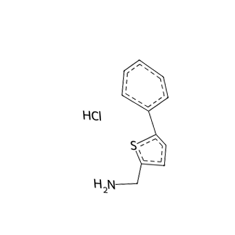 Cl.NCc1ccc(-c2ccccc2)s1